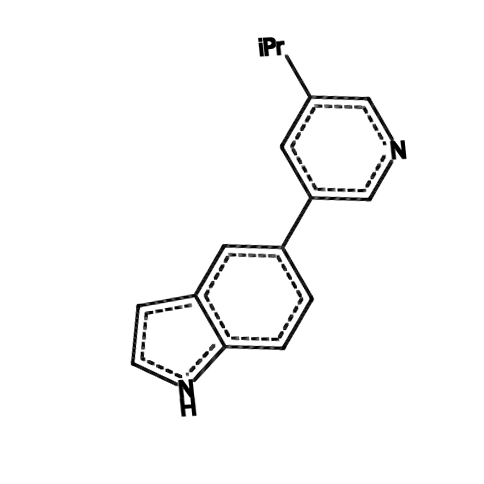 CC(C)c1cncc(-c2ccc3[nH]ccc3c2)c1